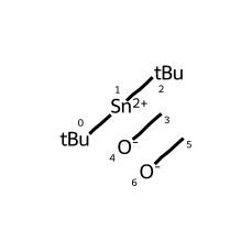 C[C](C)(C)[Sn+2][C](C)(C)C.C[O-].C[O-]